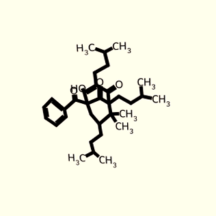 CC(C)CCC1=C(O)C2(C(=O)c3ccccc3)CC(CCC(C)C)C(C)(C)C(CCC(C)C)(C1=O)C2=O